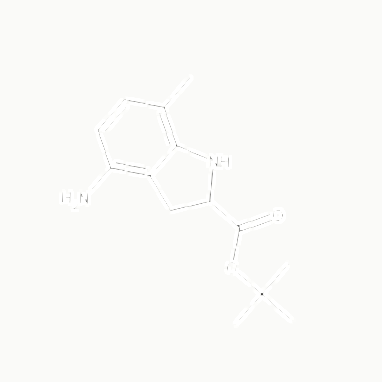 Cc1ccc(N)c2c1NC(C(=O)OC(C)(C)C)C2